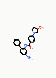 Nc1ccc(-c2ccccc2)c(NC(=O)c2ccc(N3CC[C@@H](O)C3)cc2)c1